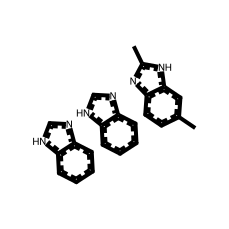 Cc1ccc2nc(C)[nH]c2c1.c1ccc2[nH]cnc2c1.c1ccc2[nH]cnc2c1